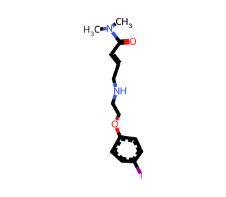 CN(C)C(=O)C=CCNCCOc1ccc(I)cc1